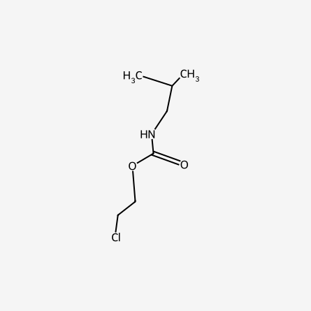 CC(C)CNC(=O)OCCCl